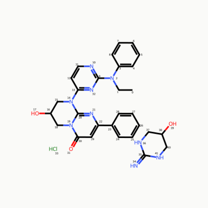 CCN(c1ccccc1)c1nccc(N2CC(O)Cn3c2nc(-c2ccccc2)cc3=O)n1.Cl.N=C1NCC(O)CN1